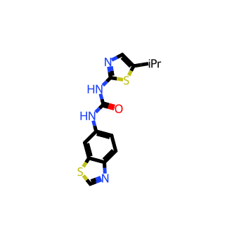 CC(C)c1cnc(NC(=O)Nc2ccc3ncsc3c2)s1